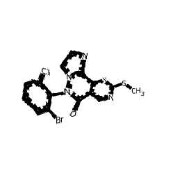 CSc1ncc2c(=O)n(-c3c(Cl)cccc3Br)n3ccnc3c2n1